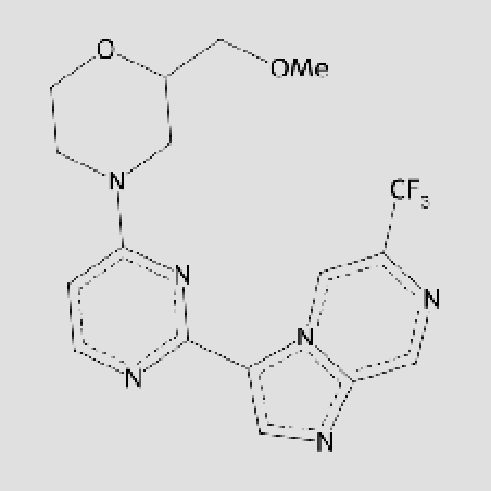 COCC1CN(c2ccnc(-c3cnc4cnc(C(F)(F)F)cn34)n2)CCO1